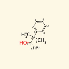 CCC[C@H](O)C(C)(C)c1ccccc1